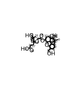 CN1CCC23c4c5ccc(CO)c4OC2C(OC(=O)[C@@H](CC(=O)O)OC(=O)CCC(=O)O)=CC[C@@]3(O)[C@H]1C5